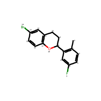 Cc1ccc(F)cc1C1CCc2cc(Br)ccc2O1